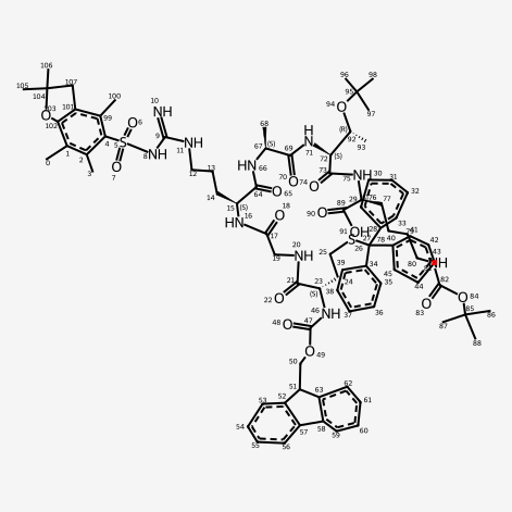 Cc1c(C)c(S(=O)(=O)NC(=N)NCCC[C@H](NC(=O)CNC(=O)[C@H](CCSC(c2ccccc2)(c2ccccc2)c2ccccc2)NC(=O)OCC2c3ccccc3-c3ccccc32)C(=O)N[C@@H](C)C(=O)N[C@H](C(=O)N[C@@H](CCCCNC(=O)OC(C)(C)C)C(=O)O)[C@@H](C)OC(C)(C)C)c(C)c2c1OC(C)(C)C2